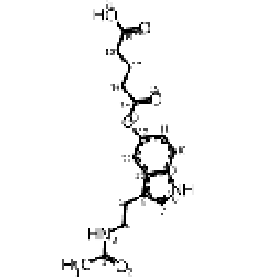 CC(=O)NCCc1c[nH]c2ccc(OC(=O)CCCC(=O)O)cc12